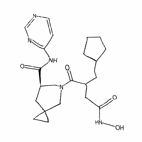 O=C(CC(CC1CCCC1)C(=O)N1CC2(CC2)C[C@H]1C(=O)Nc1ccncn1)NO